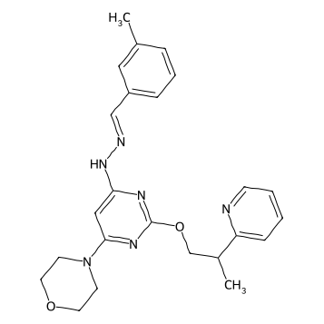 Cc1cccc(/C=N/Nc2cc(N3CCOCC3)nc(OCC(C)c3ccccn3)n2)c1